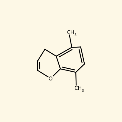 Cc1ccc(C)c2c1CC=CO2